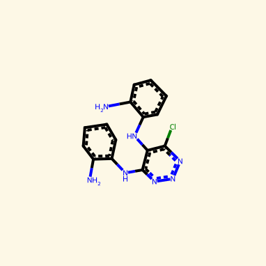 Nc1ccccc1Nc1nnnc(Cl)c1Nc1ccccc1N